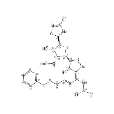 CCc1noc([C@H]2O[C@@H](n3cnc4c(NC(CC)CC)nc(NCCc5ccccn5)nc43)[C@H](OC=O)[C@@H]2O)n1